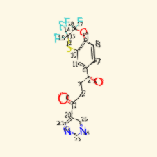 O=C(CCC(=O)c1ccc2c(c1)SC(F)(F)C(F)(F)O2)c1cncnc1